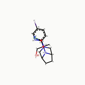 CC(CO)(CCl)N1C2CCC1CN(c1ccc(I)cn1)C2